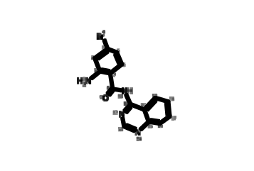 Nc1cc(Br)ccc1C(=O)Nc1ncnc2ccccc12